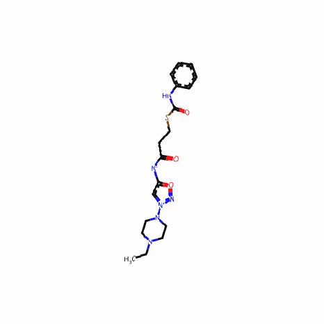 CCN1CCN([n+]2cc([N-]C(=O)CCSC(=O)Nc3ccccc3)on2)CC1